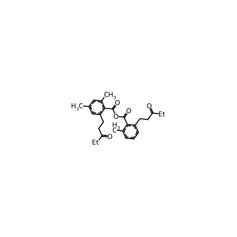 CCC(=O)CCc1cccc(C)c1C(=O)OC(=O)c1c(C)cc(C)cc1CCC(=O)CC